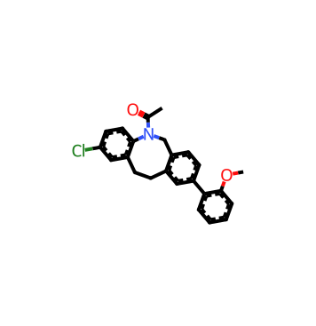 COc1ccccc1-c1ccc2c(c1)CCc1cc(Cl)ccc1N(C(C)=O)C2